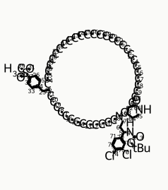 CC(C)(C)OC(=O)NC(CCN1CCCCCCCCCCCCCC(Cc2ccc(S(C)(=O)=O)cc2)CCCCCCCCCCCCCCCCCCCCCCCCCCCCC2(CCCNC2=O)C1)c1ccc(Cl)c(Cl)c1